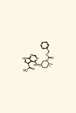 C[C@H]1CC[C@@H](Nc2ncnc3[nH]cc(C(=O)O)c23)CN1C(=O)OCc1ccccc1